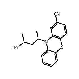 CCCN(C)C[C@@H](C)N1c2ccccc2Sc2ccc(C#N)cc21